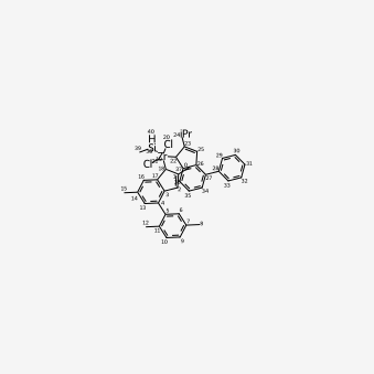 CC1=Cc2c(-c3cc(C)ccc3C)cc(C)cc2[CH]1[Zr]([Cl])([Cl])([CH]1C(C(C)C)=Cc2c(-c3ccccc3)cccc21)[SiH](C)C